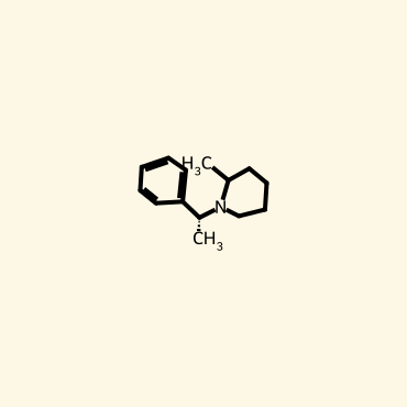 CC1CCCCN1[C@H](C)c1ccccc1